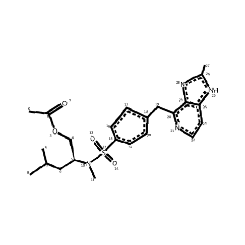 CC(=O)OC[C@H](CC(C)C)N(C)S(=O)(=O)c1ccc(Cc2nccc3[nH]c(C)nc23)cc1